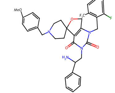 COc1ccc(CN2CCC3(CC2)OCc2c3c(=O)n(CC(N)c3ccccc3)c(=O)n2Cc2c(F)cccc2C(F)(F)F)cc1